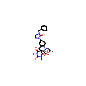 C[C@@H]1CN2c3ccc(N4CCN(Cc5ccccc5)C4=O)cc3CC3(C(=O)NC(=O)NC3=O)[C@H]2[C@H](C)O1